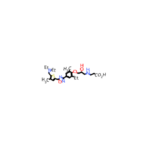 CCc1cc(-c2noc(-c3cc(C)c(CN(CC)CC)s3)n2)cc(C)c1OC[C@@H](O)CNCCC(=O)O